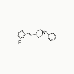 Fc1cccc(/C=C/C2CCN(Cc3ccccc3)CC2)c1